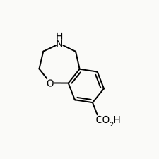 O=C(O)c1ccc2c(c1)OCCNC2